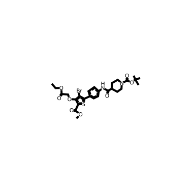 CCOC(=O)COc1c(C(=O)OC)sc(-c2ccc(NC(=O)C3CCN(C(=O)OC(C)(C)C)CC3)cc2)c1Br